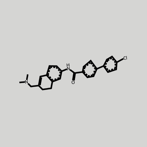 CN(C)CC1=Cc2ccc(NC(=O)c3ccc(-c4ccc(Cl)cc4)cc3)cc2CC1